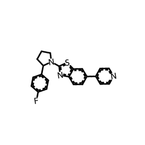 Fc1ccc(C2CCCN2c2nc3ccc(-c4ccncc4)cc3s2)cc1